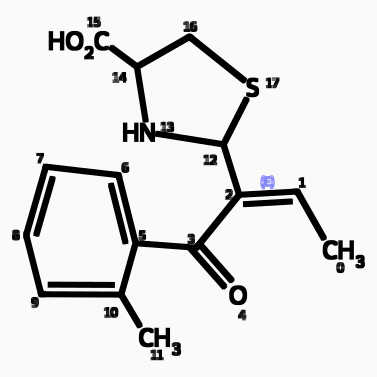 C/C=C(\C(=O)c1ccccc1C)C1NC(C(=O)O)CS1